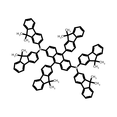 CC1(C)c2ccccc2-c2ccc(-c3c4ccc(N(c5ccc6c(c5)C(C)(C)c5ccccc5-6)c5ccc6c(c5)C(C)(C)c5ccccc5-6)cc4c(-c4ccc5c(c4)C(C)(C)c4ccccc4-5)c4ccc(N(c5ccc6c(c5)C(C)(C)c5ccccc5-6)c5ccc6c(c5)C(C)(C)c5ccccc5-6)cc34)cc21